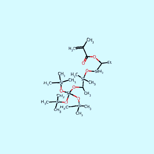 C=C(C)C(=O)OC(CC)[SiH2]O[Si](C)(C)C(C)O[Si](O[Si](C)(C)C)(O[Si](C)(C)C)O[Si](C)(C)C